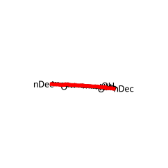 CCCCCCCCCCCCCCCCCCCC(=O)CCCCCCCCCCCCCCCCCCCCCCCCCCCCCC(=O)NC[C@@H](O)CCCCCCCCCCCCCCCCCC